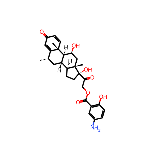 C[C@H]1C[C@@H]2[C@H]([C@@H](O)C[C@@]3(C)[C@H]2CC[C@]3(O)C(=O)COC(=O)c2cc(N)ccc2O)[C@@]2(C)C=CC(=O)C=C12